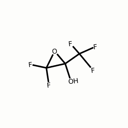 OC1(C(F)(F)F)OC1(F)F